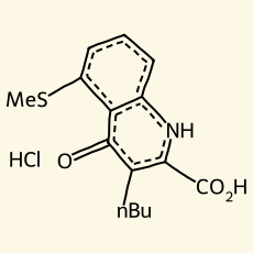 CCCCc1c(C(=O)O)[nH]c2cccc(SC)c2c1=O.Cl